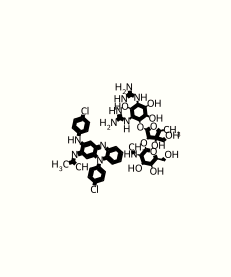 CC(C)/N=c1\cc2n(-c3ccc(Cl)cc3)c3ccccc3nc-2cc1Nc1ccc(Cl)cc1.CN[C@@H]1[C@H](O[C@H]2[C@H](O[C@H]3[C@H](O)[C@@H](O)[C@H](NC(=N)N)[C@@H](O)[C@@H]3NC(=N)N)O[C@@H](C)[C@]2(O)CO)O[C@@H](CO)[C@H](O)[C@H]1O